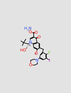 COc1cc2c(cc1Cc1cc(N3CCOCC3)cc(I)c1F)c(=O)c(C(=O)ON)cn2[C@H](CO)C(C)(C)C